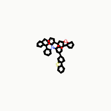 c1cc(-c2ccc3c(c2)sc2ccccc23)cc(N(c2ccccc2-c2ccc3c(c2)oc2ccccc23)c2ccccc2-c2cccc3ccccc23)c1